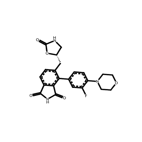 O=C1NC[C@H](Cc2ccc3c(c2-c2ccc(N4CCOCC4)c(F)c2)C(=O)NC3=O)O1